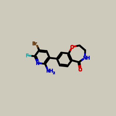 Nc1nc(F)c(Br)cc1-c1ccc2c(c1)OCCNC2=O